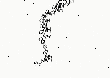 CCOC(=O)c1nc(NC(=O)CCNC(=O)c2cc(NC(=O)c3nc(NC(=O)CCNC(=O)COCCOCCOCCNC(=N)N)cn3C)cn2C)cn1C